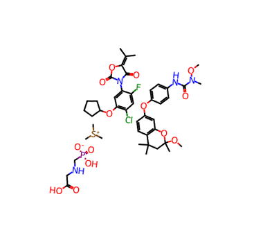 CC(C)=C1OC(=O)N(c2cc(OC3CCCC3)c(Cl)cc2F)C1=O.CON(C)C(=O)Nc1ccc(Oc2ccc3c(c2)OC(C)(OC)CC3(C)C)cc1.C[S+](C)C.O=C(O)CNCP(=O)([O-])O